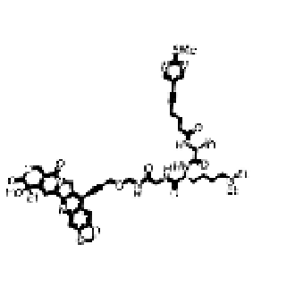 CCN(CC)CCCC[C@H](NC(=O)[C@@H](NC(=O)CCCC#Cc1cnc(SC)nc1)C(C)C)C(=O)NCC(=O)NCOCC#Cc1c2c(nc3cc4c(cc13)OCO4)-c1cc3c(c(=O)n1C2)COC(=O)[C@]3(O)CC